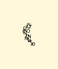 CC(=O)C1CN(c2ncc(N3CC[C@@H](Oc4ccc(C)nc4)C3=O)cn2)C1